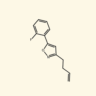 C=CCCc1cc(-c2ccccc2F)on1